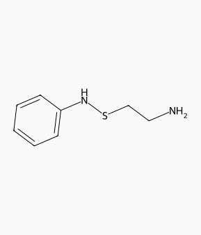 NCCSNc1ccccc1